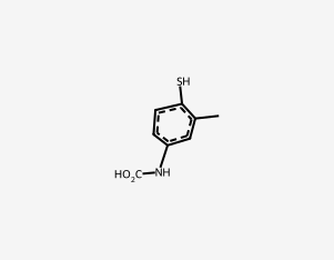 Cc1cc(NC(=O)O)ccc1S